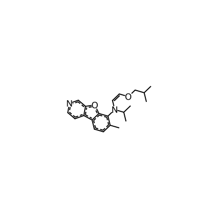 Cc1ccc2c(oc3cnccc32)c1N(/C=C\OCC(C)C)C(C)C